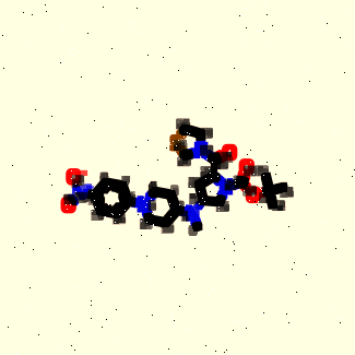 CN(C1CCN(c2ccc([N+](=O)[O-])cc2)CC1)[C@H]1C[C@@H](C(=O)N2CCSC2)N(C(=O)OC(C)(C)C)C1